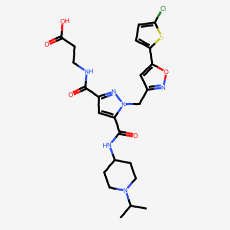 CC(C)N1CCC(NC(=O)c2cc(C(=O)NCCC(=O)O)nn2Cc2cc(-c3ccc(Cl)s3)on2)CC1